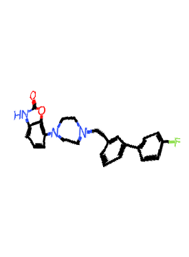 O=c1[nH]c2cccc(N3CCN(Cc4cccc(-c5ccc(F)cc5)c4)CC3)c2o1